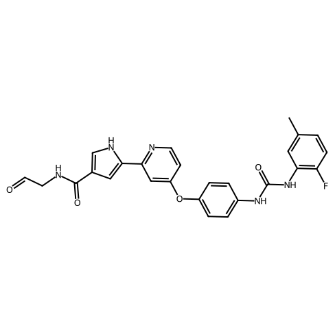 Cc1ccc(F)c(NC(=O)Nc2ccc(Oc3ccnc(-c4cc(C(=O)NCC=O)c[nH]4)c3)cc2)c1